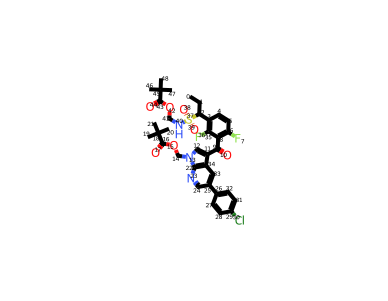 CCC(c1ccc(F)c(C(=O)c2cn(COC(=O)C(C)(C)C)c3ncc(-c4ccc(Cl)cc4)cc23)c1F)S(=O)(=O)NCOC(=O)C(C)(C)C